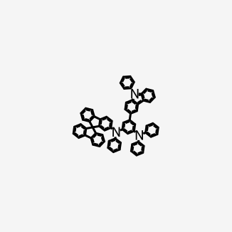 c1ccc(N(c2ccccc2)c2cc(-c3ccc4c(c3)c3ccccc3n4-c3ccccc3)cc(N(c3ccccc3)c3ccc4c(c3)C3(c5ccccc5-c5ccccc53)c3ccccc3-4)c2)cc1